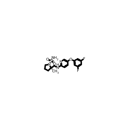 C[C@]1(C(=O)Nc2ccc(Oc3cc(F)cc(F)c3)cn2)CCCN1S(N)(=O)=O